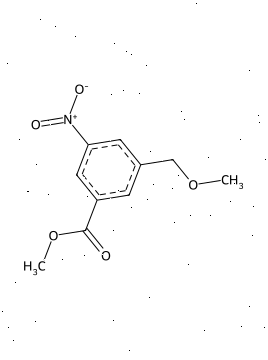 COCc1cc(C(=O)OC)cc([N+](=O)[O-])c1